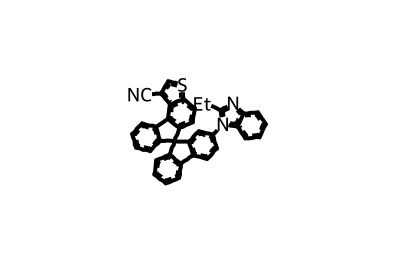 CCc1nc2ccccc2n1-c1ccc2c(c1)C1(c3ccccc3-2)c2ccccc2-c2c1ccc1scc(C#N)c21